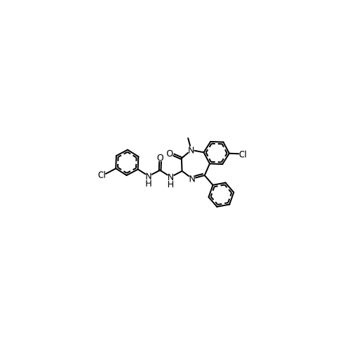 CN1C(=O)C(NC(=O)Nc2cccc(Cl)c2)N=C(c2ccccc2)c2cc(Cl)ccc21